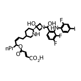 CCCC(/C=C\CC1CC[C@@H](C2(O)CN(C(O)c3ccc(F)c(F)c3Nc3ccc(I)cc3F)C2)NC1)OC(=O)/C=C/C(=O)O